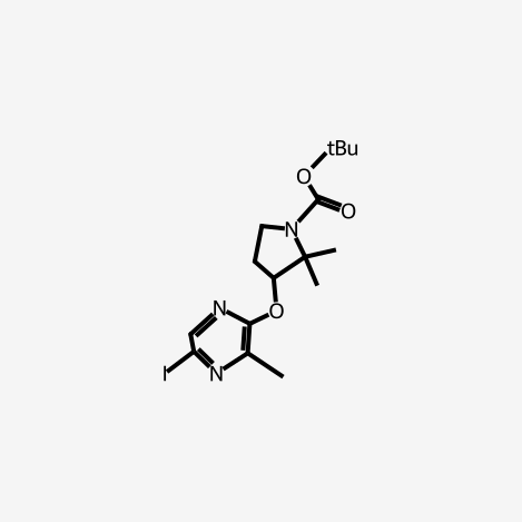 Cc1nc(I)cnc1OC1CCN(C(=O)OC(C)(C)C)C1(C)C